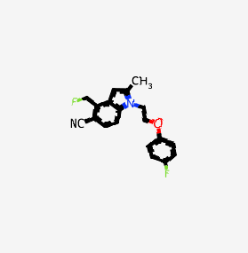 Cc1cc2c(CF)c(C#N)ccc2n1CCOc1ccc(F)cc1